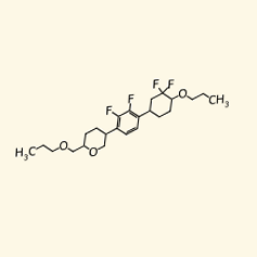 CCCOCC1CCC(c2ccc(C3CCC(OCCC)C(F)(F)C3)c(F)c2F)CO1